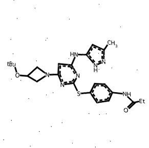 CCC(=O)Nc1ccc(Sc2nc(Nc3cc(C)n[nH]3)cc(N3CC(OC(C)(C)C)C3)n2)cc1